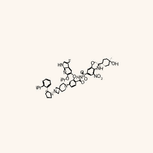 CC(C)Oc1nc2[nH]cc(F)c2cc1Oc1cc(N2CCC3(CC2)CN([C@@H]2CCC[C@@H]2c2ccccc2C(C)C)C3)ccc1C(=O)NS(=O)(=O)c1cc2c(c([N+](=O)[O-])c1)N[C@@H]([C@H]1CC[C@](C)(O)CC1)CO2